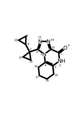 O=c1[nH]c2c(n3c(C4(C5CC5)CC4)nnc13)CCCC2